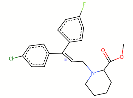 COC(=O)C1CCCCN1C/C=C(\c1ccc(F)cc1)c1ccc(Cl)cc1